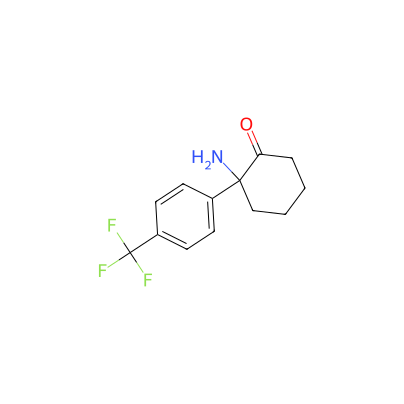 NC1(c2ccc(C(F)(F)F)cc2)CCCCC1=O